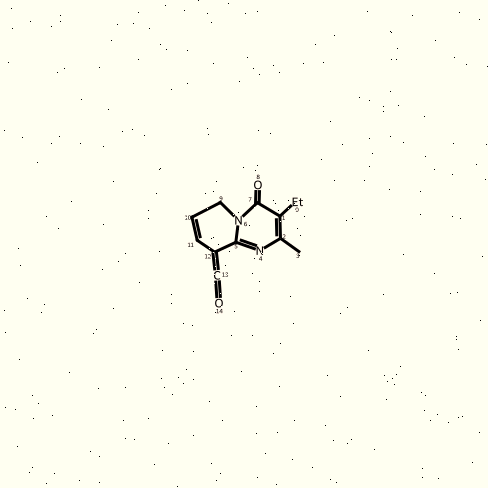 CCc1c(C)nc2n(c1=O)CC=CC2=C=O